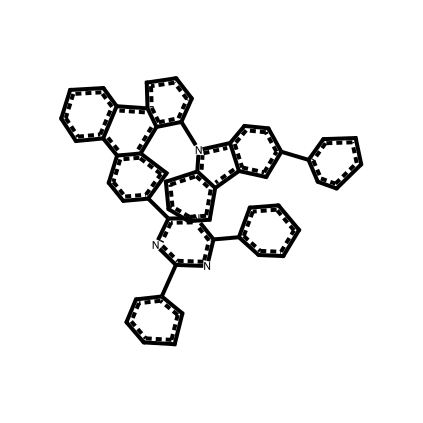 c1ccc(-c2ccc3c(c2)c2ccccc2n3-c2cccc3c4ccccc4c4ccc(-c5nc(-c6ccccc6)nc(-c6ccccc6)n5)cc4c23)cc1